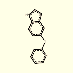 c1ccc(Sc2ccc3[nH]ccc3c2)nc1